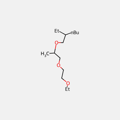 CCCCC(CC)COC(C)COCCOCC